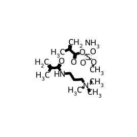 C=C(C)C(=O)NCCC[N+](C)(C)C.C=C(C)C(=O)OS(=O)(=O)OC.N